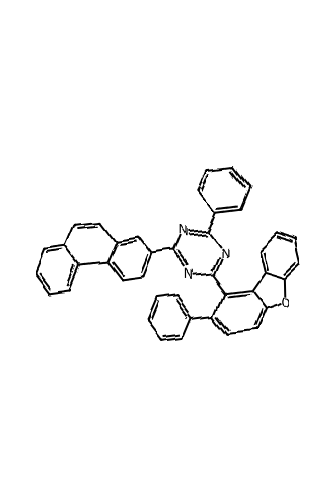 c1ccc(-c2nc(-c3ccc4c(ccc5ccccc54)c3)nc(-c3c(-c4ccccc4)ccc4oc5ccccc5c34)n2)cc1